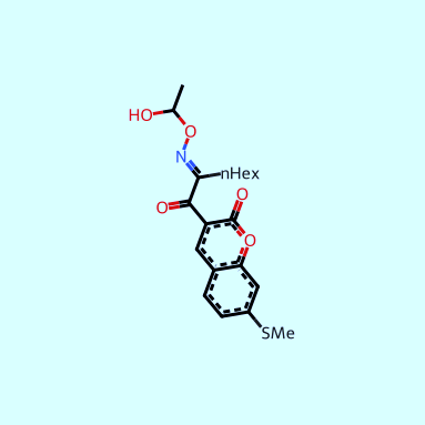 CCCCCC/C(=N\OC(C)O)C(=O)c1cc2ccc(SC)cc2oc1=O